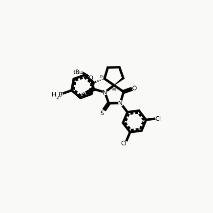 Bc1ccc([C@@H]2CCC[C@]23C(=O)N(c2cc(Cl)cc(Cl)c2)C(=S)N3C(=O)OC(C)(C)C)cc1